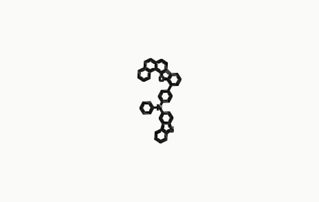 c1ccc(N(c2ccc(-c3cccc4c3oc3c4ccc4ccc5ccccc5c43)cc2)c2ccc3sc4ccccc4c3c2)cc1